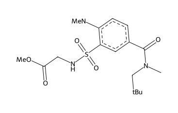 CNc1ccc(C(=O)N(C)CC(C)(C)C)cc1S(=O)(=O)NCC(=O)OC